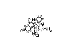 Cl.Cl.NC1CCC(Cc2c(Cl)cccc2[N+](=O)[O-])(Nc2ccnc3cc(Cl)ccc23)CC1